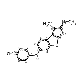 CN=c1sc2c(n1C)-c1ccc(Oc3ccc(Cl)cc3)cc1C2